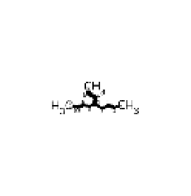 CC=CC[C](C=CC)CC=CC